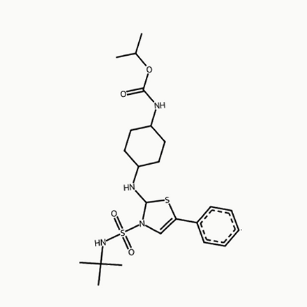 CC(C)OC(=O)NC1CCC(NC2SC(c3cc[c]cc3)=CN2S(=O)(=O)NC(C)(C)C)CC1